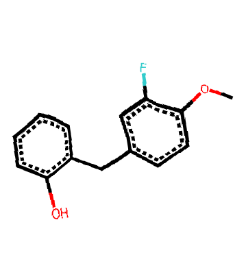 COc1ccc(Cc2ccccc2O)cc1F